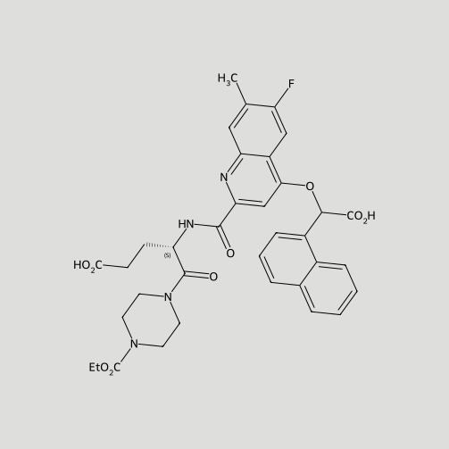 CCOC(=O)N1CCN(C(=O)[C@H](CCC(=O)O)NC(=O)c2cc(OC(C(=O)O)c3cccc4ccccc34)c3cc(F)c(C)cc3n2)CC1